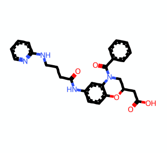 O=C(O)CC1CN(C(=O)c2ccccc2)c2cc(NC(=O)CCCNc3ccccn3)ccc2O1